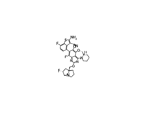 N#Cc1c(N)sc2c(F)ccc(-c3c(Cl)c4c5c(nc(OC[C@@]67CCCN6C[C@H](F)C7)nc5c3F)N3CCCC[C@H]3CO4)c12